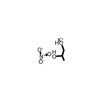 CC(O)CO.O=[N+]([O-])[O-].[K+]